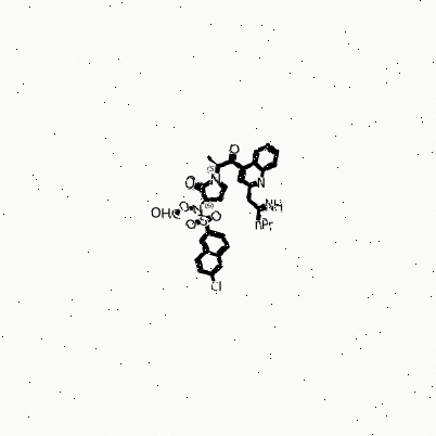 CCCC(=N)Cc1cc(C(=O)[C@H](C)N2CC[C@H](N(OC=O)S(=O)(=O)c3ccc4cc(Cl)ccc4c3)C2=O)c2ccccc2n1